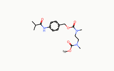 [2H]OC(=O)N(C)CCN(C)C(=O)OCc1ccc(NC(=O)C(C)C)cc1